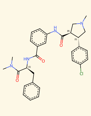 CN1C[C@H](C(=O)Nc2cccc(C(=O)N[C@@H](Cc3ccccc3)C(=O)N(C)C)c2)[C@@H](c2ccc(Cl)cc2)C1